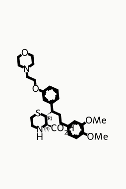 COc1ccc(CCC(c2cccc(OCCN3CCOCC3)c2)[C@H]2SCCN[C@@H]2C(=O)O)cc1OC